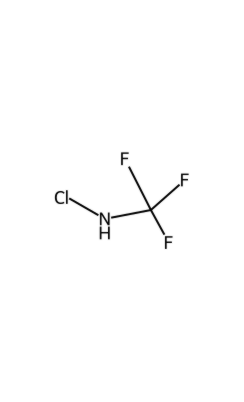 FC(F)(F)NCl